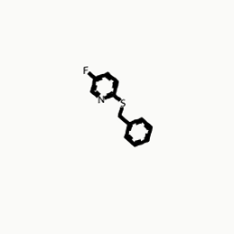 Fc1ccc(SCc2ccccc2)nc1